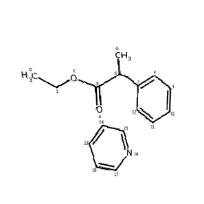 CCOC(=O)C(C)c1ccccc1.c1ccncc1